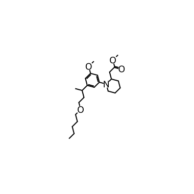 CCCCCOCCC(C)c1cc(OC)cc(N2CCCCC2CC(=O)OC)c1